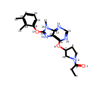 CCC(=O)N1CCC(Oc2ncnc3c2nc(Oc2cccc(C)c2C)n3C)C1